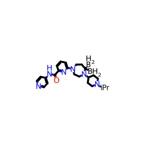 BC1(B)CCN(c2cccc(C(=O)Nc3ccncc3)n2)CCN1C1CCN(C(C)C)CC1